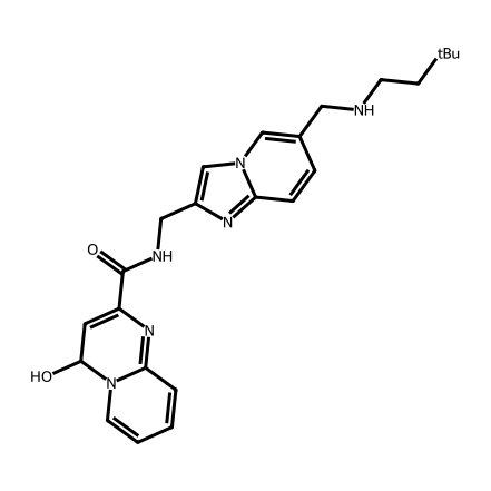 CC(C)(C)CCNCc1ccc2nc(CNC(=O)C3=CC(O)N4C=CC=CC4=N3)cn2c1